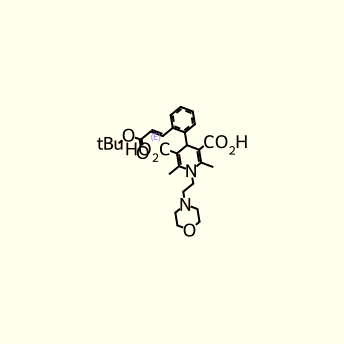 CC1=C(C(=O)O)C(c2ccccc2/C=C/C(=O)OC(C)(C)C)C(C(=O)O)=C(C)N1CCN1CCOCC1